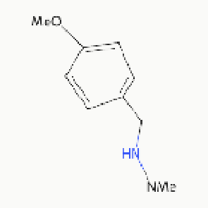 CNNCc1ccc(OC)cc1